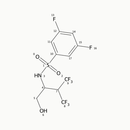 O=S(=O)(NC(CO)C(C(F)(F)F)C(F)(F)F)c1cc(F)cc(F)c1